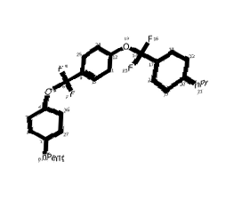 CCCCCC1CCC(OC(F)(F)C2=CCC(OC(F)(F)C3CCC(CCC)CC3)CC2)CC1